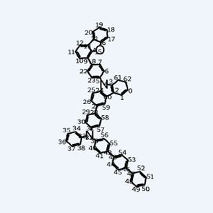 C1=Cc2c(n(-c3ccc(-c4cccc5c4oc4ccccc45)cc3)c3ccc(-c4ccc(N(c5ccccc5)c5ccc(-c6ccc(-c7ccccc7)cc6)cc5)cc4)cc23)CC1